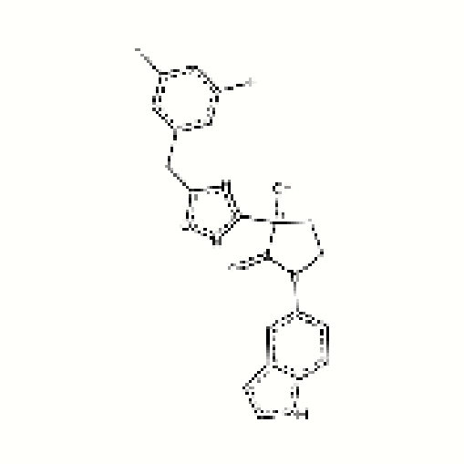 O=C1N(c2ccc3[nH]ccc3c2)CC[C@]1(O)c1noc(Cc2cc(F)cc(F)c2)n1